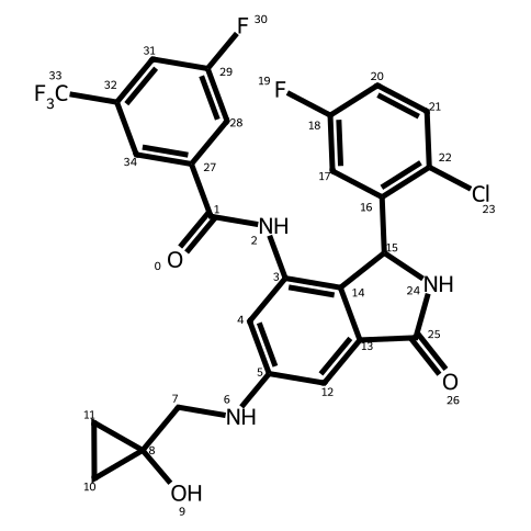 O=C(Nc1cc(NCC2(O)CC2)cc2c1C(c1cc(F)ccc1Cl)NC2=O)c1cc(F)cc(C(F)(F)F)c1